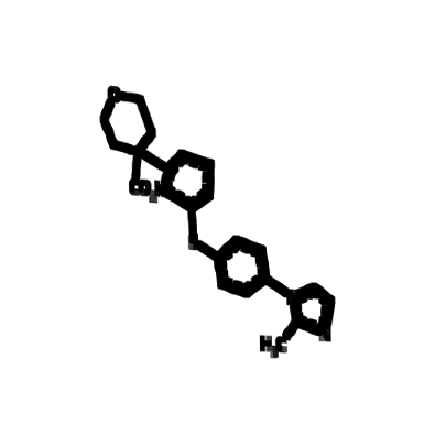 Cc1nccn1-c1ccc(Sc2cccc(C3(C(=O)O)CCOCC3)c2)cc1